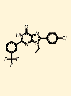 CCn1c(-c2ccc(Cl)cc2)nc2c(=O)[nH]c(-c3cccc(C(F)(F)F)c3)nc21